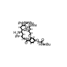 CCCCNC(=O)COc1ccc(C(=O)NC[C@@H](C[C@H](N)[C@@H](O)C[C@H](C(=O)NCCCC)C(C)C)C(C)C)c(OCCCCOC)c1